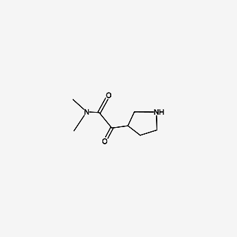 CN(C)C(=O)C(=O)C1CCNC1